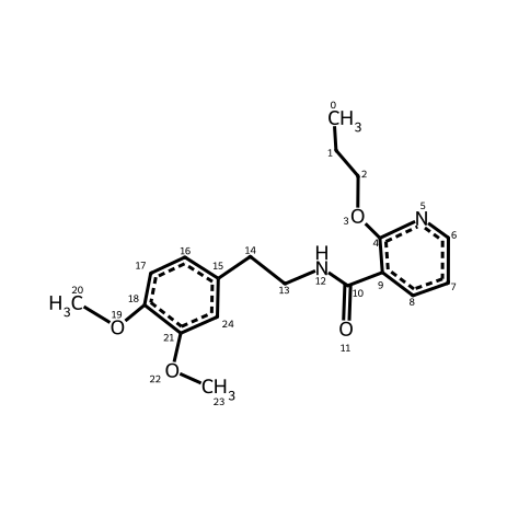 CCCOc1ncccc1C(=O)NCCc1ccc(OC)c(OC)c1